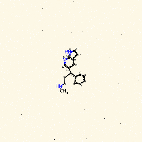 CNCCC(c1ccccc1)c1cnc2[nH]ccc2c1